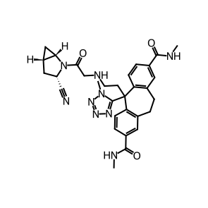 CNC(=O)c1ccc2c(c1)CCc1cc(C(=O)NC)ccc1C2(CCNCC(=O)N1[C@H](C#N)C[C@@H]2C[C@@H]21)c1nnnn1C